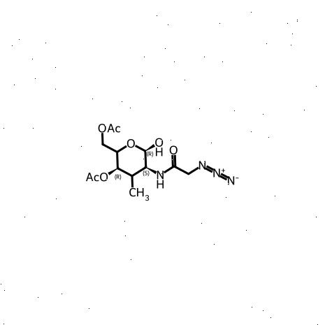 CC(=O)OCC1O[C@@H](O)[C@@H](NC(=O)CN=[N+]=[N-])C(C)[C@H]1OC(C)=O